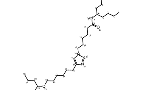 CCCCC(CCC)NC(=O)CCCCCn1cc(CCCCCCOC(C)CCC)nn1